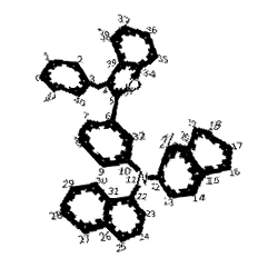 c1ccc(-c2c(-c3cccc(N(c4ccc5ccccc5c4)c4cccc5ccccc45)c3)oc3ccccc23)cc1